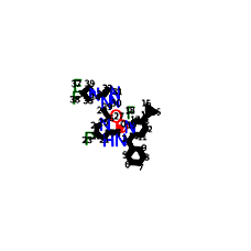 O=C(NC(c1ccccc1)c1ccc(C2CC2)c(F)n1)C1CC(F)CN1C(=O)Cn1nncc1N1CC(F)(F)C1